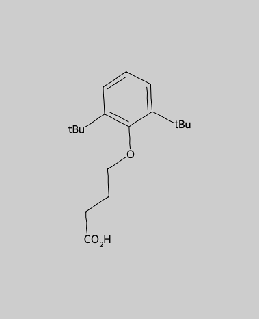 CC(C)(C)c1cccc(C(C)(C)C)c1OCCCC(=O)O